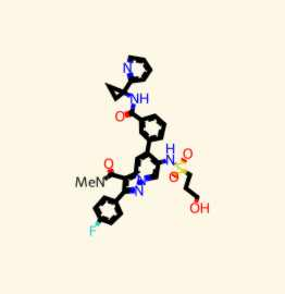 CNC(=O)c1c(-c2ccc(F)cc2)nn2cc(NS(=O)(=O)CCCO)c(-c3cccc(C(=O)NC4(c5ccccn5)CC4)c3)cc12